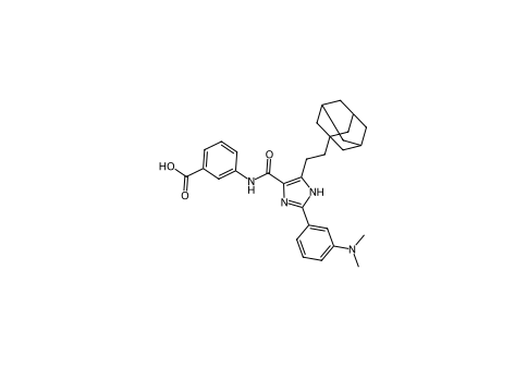 CN(C)c1cccc(-c2nc(C(=O)Nc3cccc(C(=O)O)c3)c(CCC34CC5CC(CC(C5)C3)C4)[nH]2)c1